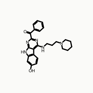 O=C(c1ccccc1)c1nc(NCCCN2CCCCC2)c2c(n1)[nH]c1cc(O)ccc12